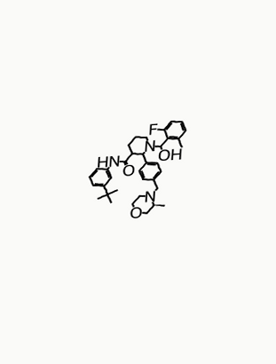 Cc1cccc(F)c1C(O)N1CCCC(C(=O)Nc2cccc(C(C)(C)C)c2)C1c1ccc(CN2CCOC[C@@H]2C)cc1